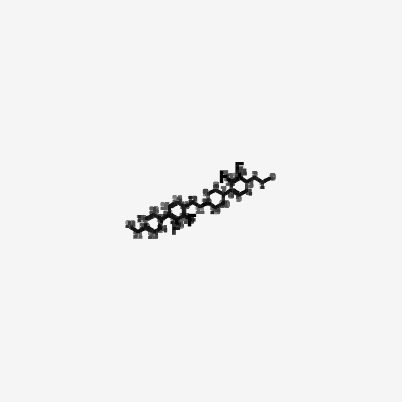 CCCC1CC=C(C2CCC(CCc3ccc(-c4ccc(CC)cc4)c(F)c3F)CC2)C(F)=C1F